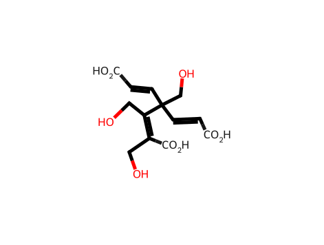 O=C(O)C=CC(C=CC(=O)O)(CO)C(CO)=C(CO)C(=O)O